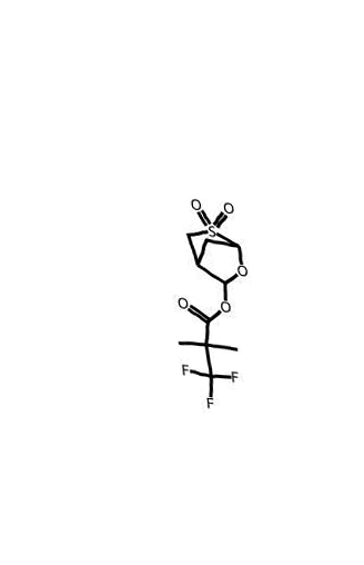 CC(C)(C(=O)OC1OC2CC1CS2(=O)=O)C(F)(F)F